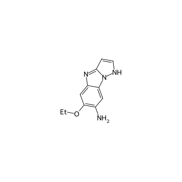 CCOc1cc2nc3cc[nH]n3c2cc1N